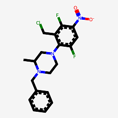 CC1CN(c2c(F)cc([N+](=O)[O-])c(F)c2CCl)CCN1Cc1ccccc1